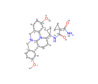 COc1ccc(CN(Cc2ccc(OC)cc2)c2cccc(C3(NC(=O)C4(C(N)=O)CC4)CC3)n2)cc1